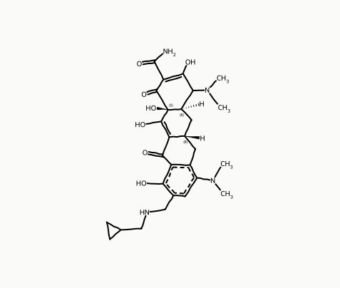 CN(C)c1cc(CNCC2CC2)c(O)c2c1C[C@H]1C[C@@H]3C(N(C)C)C(O)=C(C(N)=O)C(=O)[C@@]3(O)C(O)=C1C2=O